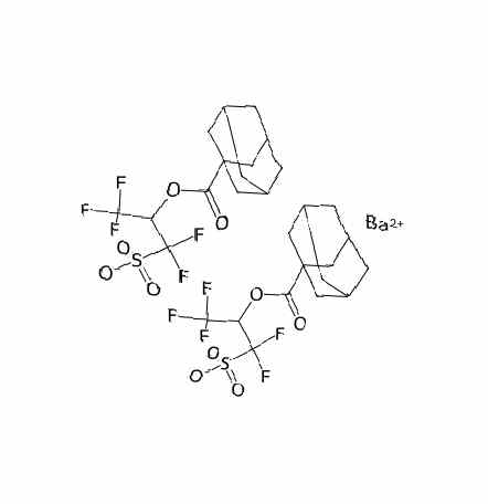 O=C(OC(C(F)(F)F)C(F)(F)S(=O)(=O)[O-])C12CC3CC(CC(C3)C1)C2.O=C(OC(C(F)(F)F)C(F)(F)S(=O)(=O)[O-])C12CC3CC(CC(C3)C1)C2.[Ba+2]